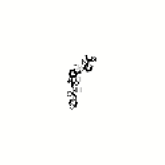 Cc1nc2c(OCc3c(Cl)ccc(N(C)C(=O)CNC(=O)CN4CCOCC4)c3Cl)cccn2c1Br